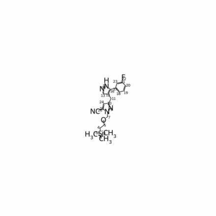 C[Si](C)(C)CCOCn1nc(Cc2cn[nH]c2-c2cccc(F)c2)cc1C#N